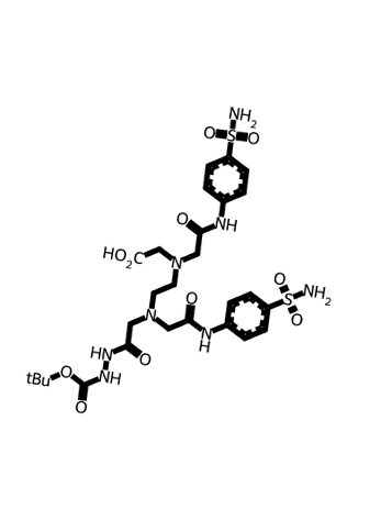 CC(C)(C)OC(=O)NNC(=O)CN(CCN(CC(=O)O)CC(=O)Nc1ccc(S(N)(=O)=O)cc1)CC(=O)Nc1ccc(S(N)(=O)=O)cc1